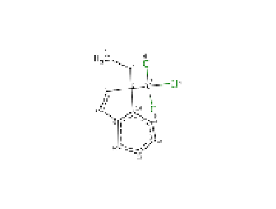 CC[C]1([V]([Cl])([Cl])[Cl])C=Cc2ccccc21